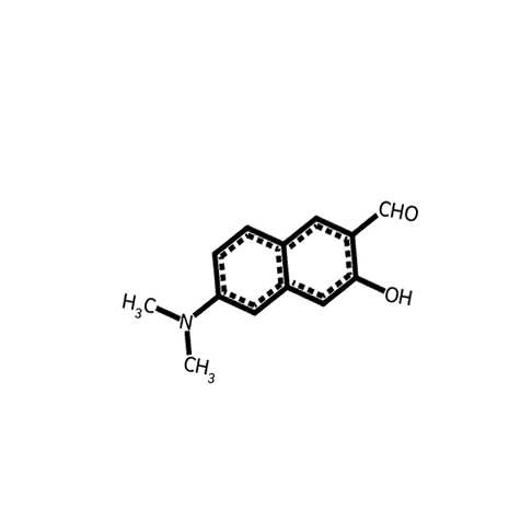 CN(C)c1ccc2cc(C=O)c(O)cc2c1